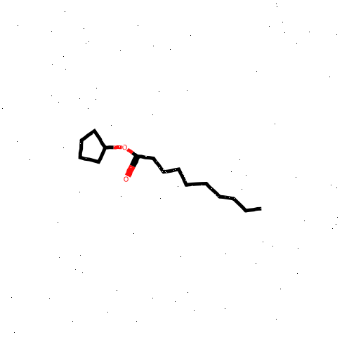 CCCCCCCCCC(=O)OC1CCCC1